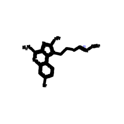 CCCc1nc2c(N)nc3cc(Br)ccc3c2n1CCC/C=N/OC